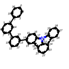 c1ccc(-c2cccc(-c3cccc(-c4ccc5c(c4)c4cccc6c7ccccc7n5c64)c3)c2)cc1